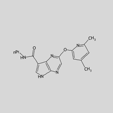 CCCNC(=O)c1c[nH]c2ncc(Oc3cc(C)cc(C)n3)nc12